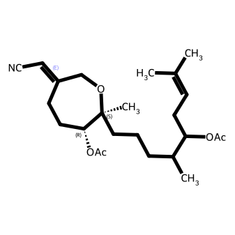 CC(=O)OC(CC=C(C)C)C(C)CCC[C@]1(C)OC/C(=C/C#N)CC[C@H]1OC(C)=O